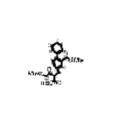 CCCCC(=O)C(Cc1ccc(-c2ccccc2)c(C(=O)OC)c1)C(=O)COC